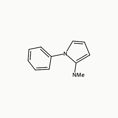 CNc1cccn1-c1ccccc1